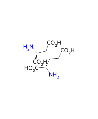 NC(CCC(=O)O)C(=O)O.N[C@@H](CC(=O)O)C(=O)O